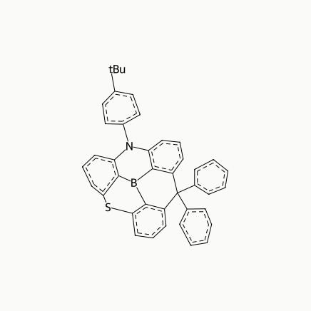 CC(C)(C)c1ccc(N2c3cccc4c3B3c5c(cccc5C(c5ccccc5)(c5ccccc5)c5cccc2c53)S4)cc1